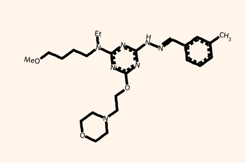 CCN(CCCCOC)c1nc(NN=Cc2cccc(C)c2)nc(OCCN2CCOCC2)n1